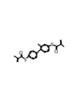 C=C(C)C(=O)Sc1ccc(-c2ccc(SC(=O)C(=C)C)cc2C)cc1